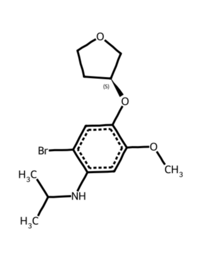 COc1cc(NC(C)C)c(Br)cc1O[C@H]1CCOC1